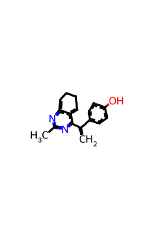 C=C(c1ccc(O)cc1)c1nc(C)nc2c1=CCCC=2